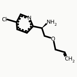 C=CCOC[C@H](N)c1ccc(Cl)cn1